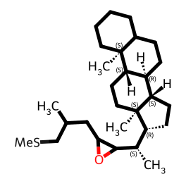 CSCC(C)CC1OC1[C@@H](C)[C@H]1CC[C@H]2[C@@H]3CCC4CCCC[C@]4(C)[C@H]3CC[C@]12C